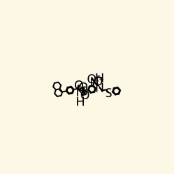 O=C(NS(=O)(=O)c1ccc(NCCSc2ccccc2)c([N+](=O)[O-])c1)c1ccc(C2=C3CCCCC3CCC2)cc1